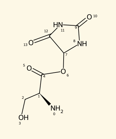 N[C@@H](CO)C(=O)OC1NC(=O)NC1=O